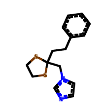 c1ccc(CCC2(Cn3ccnc3)SCCS2)cc1